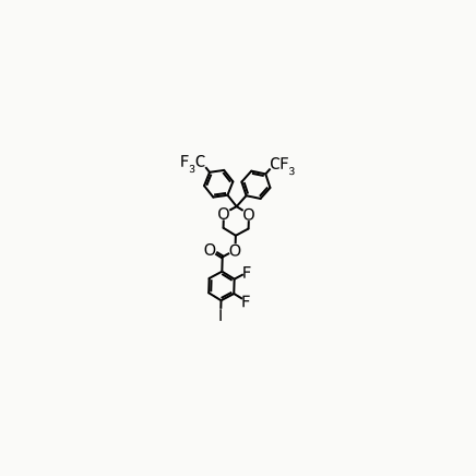 O=C(OC1COC(c2ccc(C(F)(F)F)cc2)(c2ccc(C(F)(F)F)cc2)OC1)c1ccc(I)c(F)c1F